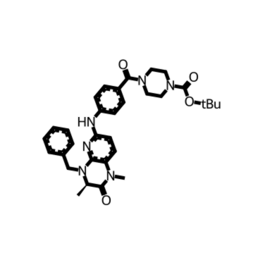 C[C@@H]1C(=O)N(C)c2ccc(Nc3ccc(C(=O)N4CCN(C(=O)OC(C)(C)C)CC4)cc3)nc2N1Cc1ccccc1